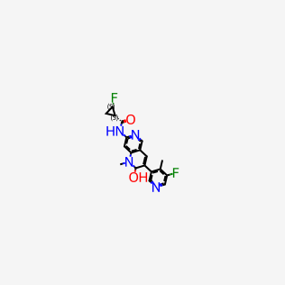 Cc1c(F)cncc1C1=Cc2cnc(NC(=O)[C@@H]3C[C@@H]3F)cc2N(C)C1O